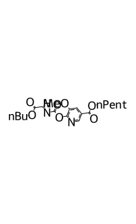 CCCCCOC(=O)c1cnc(OC(=O)NCC(=O)OCCCC)c(OC)c1